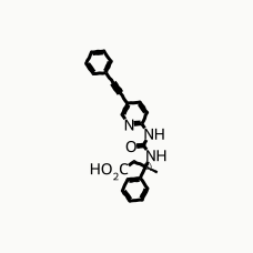 C[C@@](CC(=O)O)(NC(=O)Nc1ccc(C#Cc2ccccc2)cn1)c1ccccc1